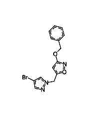 Brc1cnn(Cc2cc(OCc3ccccc3)no2)c1